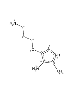 Cc1[nH]nc(OCCCN)c1N